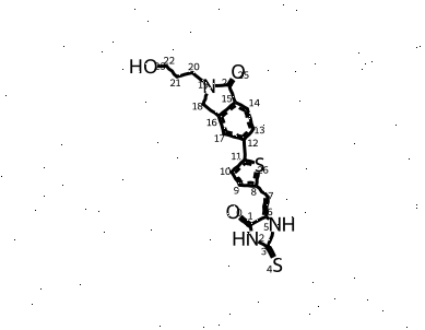 O=C1NC(=S)NC1=Cc1ccc(-c2ccc3c(c2)CN(CCCO)C3=O)s1